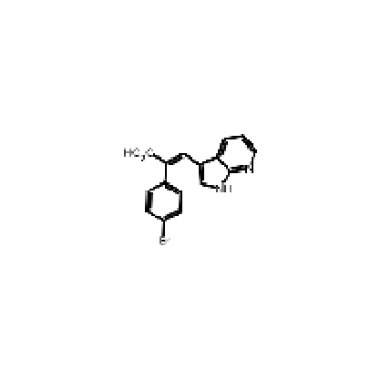 O=C(O)C(=Cc1c[nH]c2ncccc12)c1ccc(Br)cc1